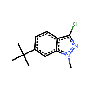 Cn1nc(Cl)c2ccc(C(C)(C)C)cc21